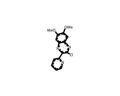 COc1cc2nc(Cl)c(-c3ccccn3)nc2cc1OC